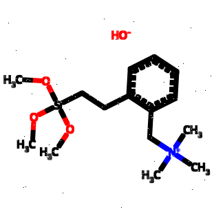 CO[Si](CCc1ccccc1C[N+](C)(C)C)(OC)OC.[OH-]